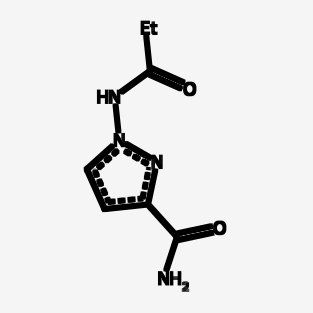 CCC(=O)Nn1ccc(C(N)=O)n1